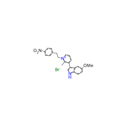 COc1ccc2[nH]cc(-c3ccc[n+](CCc4ccc([N+](=O)[O-])cc4)c3C)c2c1.[Br-]